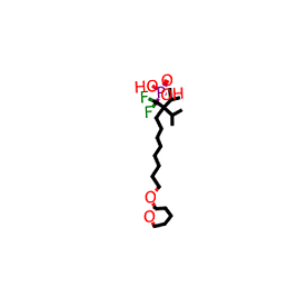 CC(C)C(CCCCCCCCOC1CCCCO1)(C(C)C)C(F)(F)P(=O)(O)O